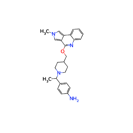 CC(c1ccc(N)cc1)N1CCC(COc2nc3ccccc3c3cn(C)cc23)CC1